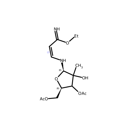 CCOC(=N)/C=C\N[C@@H]1O[C@H](COC(C)=O)C(OC(C)=O)C1(C)O